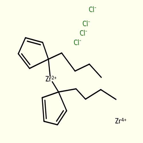 CCCC[C]1([Zr+2][C]2(CCCC)C=CC=C2)C=CC=C1.[Cl-].[Cl-].[Cl-].[Cl-].[Zr+4]